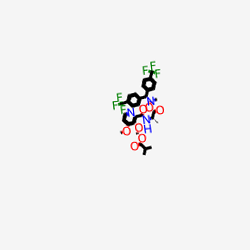 COc1ccnc(C(=O)N[C@@H](C)C(=O)ON(C)C(c2ccc(C(F)(F)F)cc2)c2ccc(C(F)(F)F)cc2)c1OCOC(=O)C(C)C